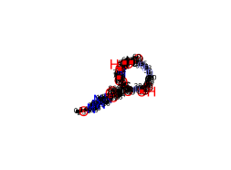 CCCOCCN1CCN(c2ncc3c(n2)CCN(C(=O)O[C@@H]2CC[C@@H](C[C@@H](C)[C@@H]4C[C@@H](OC)[C@H](C)/C=C(\C)[C@@H](O)[C@@H](OC)C(=O)[C@H](C)C[C@H](C)/C=C/C=C/C=C(\C)[C@@H](OC)C[C@@H]5CC[C@@H](C)[C@@](O)(O5)C(=O)C(=O)N5CCCC[C@H]5C(=O)O4)C[C@H]2OC)C3)CC1